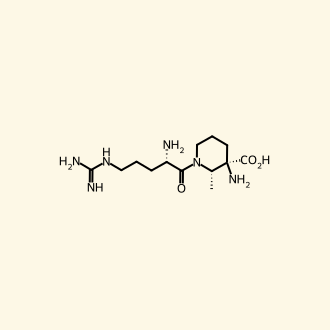 C[C@@H]1N(C(=O)[C@@H](N)CCCNC(=N)N)CCC[C@]1(N)C(=O)O